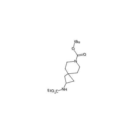 CCOC(=O)NC1CC2(CCN(C(=O)OC(C)(C)C)CC2)C1